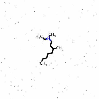 CCCCC[C@H](C)CCN(C)CC